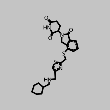 O=C1CCC(N2Cc3c(SCc4nc(CNCC5CCCCC5)cs4)cccc3C2=O)C(=O)N1